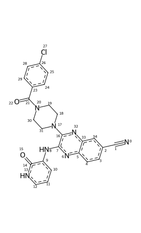 N#Cc1ccc2nc(Nc3ccc[nH]c3=O)c(N3CCN(C(=O)c4ccc(Cl)cc4)CC3)nc2c1